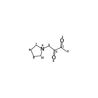 CC(=O)C(=O)CN1CCCC1